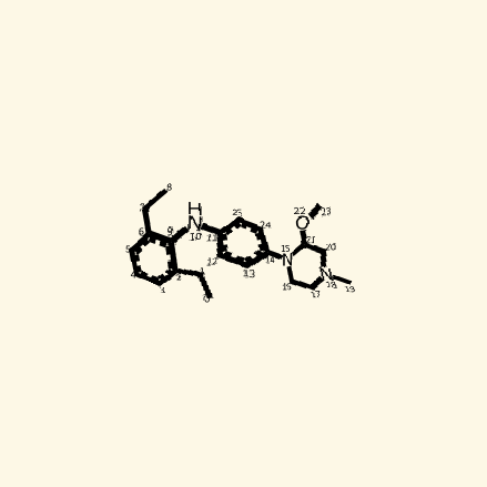 CCc1cccc(CC)c1Nc1ccc(N2CCN(C)CC2OC)cc1